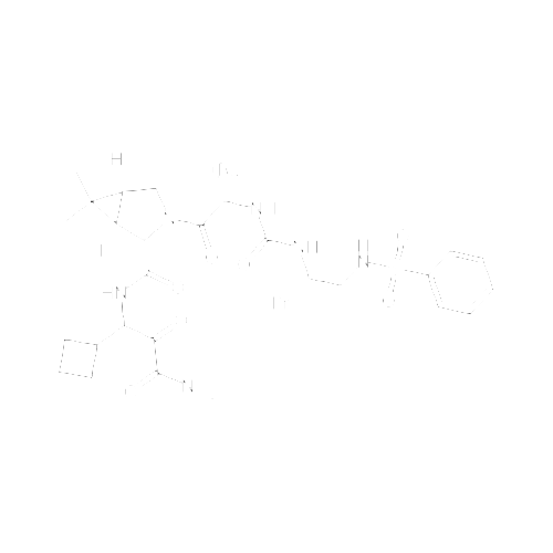 CC(C)[C@@H](CNS(=O)(=O)c1ccccc1)NC(=O)N[C@H](C(=O)N1C[C@H]2[C@@H]([C@H]1C(=O)NC(C(=O)C(N)=O)C1CCC1)C2(C)C)C(C)(C)C